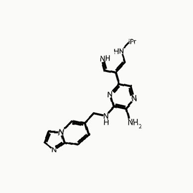 CC(C)N/C=C(\C=N)c1cnc(N)c(NCc2ccc3nccn3c2)n1